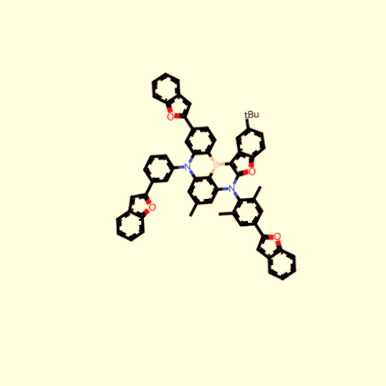 Cc1cc2c3c(c1)N(c1c(C)cc(-c4cc5ccccc5o4)cc1C)c1oc4ccc(C(C)(C)C)cc4c1B3c1ccc(-c3cc4ccccc4o3)cc1N2c1cccc(-c2cc3ccccc3o2)c1